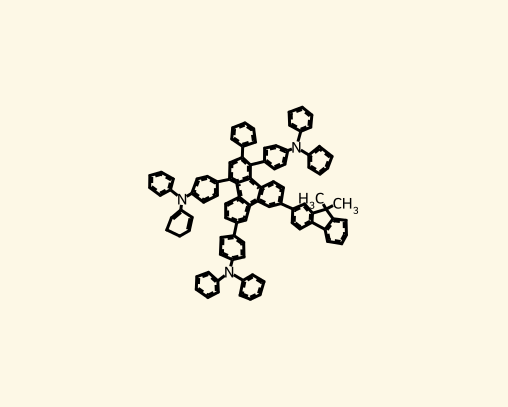 CC1(C)c2ccccc2-c2ccc(-c3ccc4c(c3)c3cc(-c5ccc(N(c6ccccc6)c6ccccc6)cc5)ccc3c3c(-c5ccc(N(C6=CCCC=C6)c6ccccc6)cc5)cc(-c5ccccc5)c(-c5ccc(N(c6ccccc6)c6ccccc6)cc5)c43)cc21